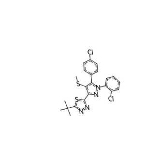 CSc1c(-c2nnc(C(C)(C)C)s2)nn(-c2ccccc2Cl)c1-c1ccc(Cl)cc1